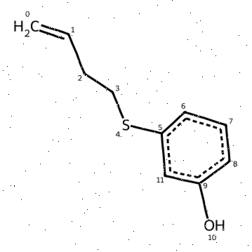 C=CCCSc1cccc(O)c1